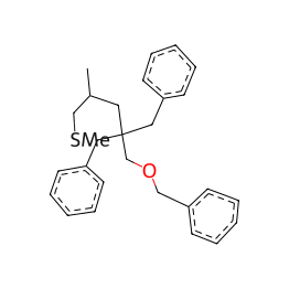 CSCC(C)CC(COCc1ccccc1)(Cc1ccccc1)Cc1ccccc1